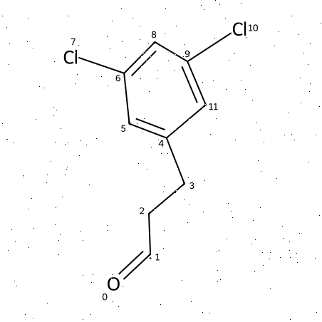 O=[C]CCc1cc(Cl)cc(Cl)c1